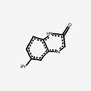 CC(C)c1ccc2[nH]c(=O)cnc2c1